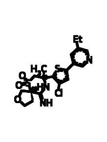 CCc1cncc(-c2cc(Cl)c([C@]3(C)CS(=O)(=O)[C@@]4(CCOC4)C(=N)N3)s2)c1